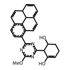 COc1nc(-c2ccc3c4c2C=CC2=CC=CC(C=C3)C24)nc(C2C(O)=CCCC2O)n1